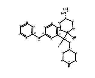 Cl.Cl.OC1(C(I)(CN2CCNCC2)c2cccc(Oc3ccccc3)c2)CCCCC1